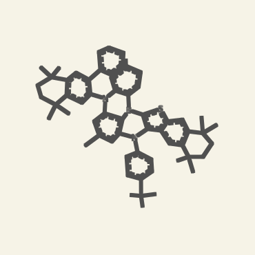 Cc1ccc2c(c1)N(c1cc3c(cc1-c1ccccc1)C(C)(C)CCC3(C)C)c1cc(C)cc3c1B2c1sc2cc4c(cc2c1N3c1ccc(C(C)(C)C)cc1)C(C)(C)CCC4(C)C